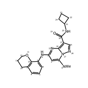 CNc1cc(Nc2cccc3c2OCCC3)nc2c(C(=O)NC3CCC3)cnn12